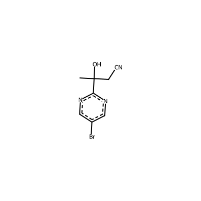 CC(O)(CC#N)c1ncc(Br)cn1